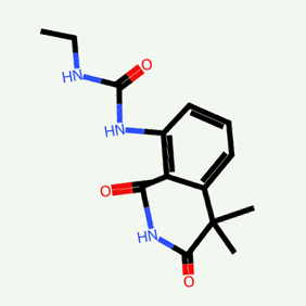 CCNC(=O)Nc1cccc2c1C(=O)NC(=O)C2(C)C